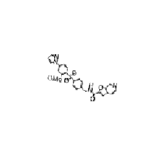 COc1cc(-n2cccn2)ccc1S(=O)(=O)c1ccc(CNC(=O)c2cc3ccncc3o2)cc1